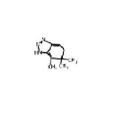 CC1=c2[nH]nnc2=CCC1(C)C